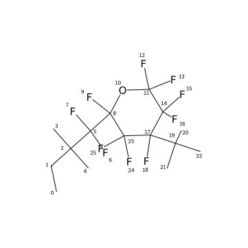 CCC(C)(C)C(F)(F)C1(F)OC(F)(F)C(F)(F)C(F)(C(C)(C)C)C1(F)F